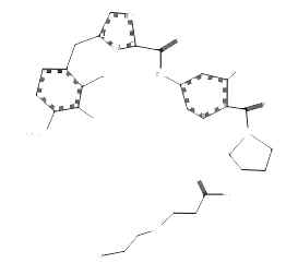 COc1ccc(Cc2cnc(C(=O)Nc3ccc(C(=O)N4CC[C@H](NC(=O)CCOCCN)C4)c(Cl)c3)[nH]2)c(F)c1F